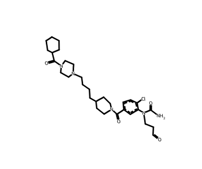 NC(=O)N(CCC=O)c1cc(C(=O)N2CCC(CCCCN3CCN(C(=O)C4CCCCC4)CC3)CC2)ccc1Cl